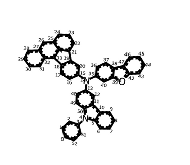 c1ccc(-n2c3ccccc3c3cc(N(c4ccc5c(c4)-c4cccc6cc7ccccc7c-5c46)c4ccc5c(c4)oc4ccccc45)ccc32)cc1